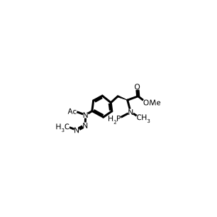 C/N=N\N(C(C)=O)c1ccc(C[C@@H](C(=O)OC)N(C)P)cc1